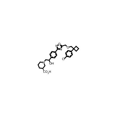 O=C(O)[C@H]1CCCN(CC(O)c2ccc(-c3noc(COCC4(c5ccc(Cl)cc5)CCC4)n3)cc2)C1